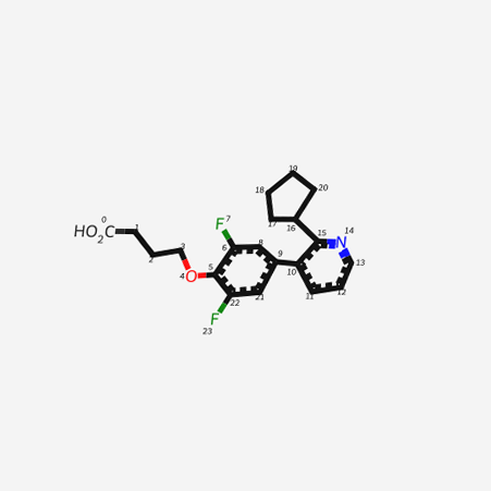 O=C(O)CCCOc1c(F)cc(-c2cccnc2C2CCCC2)cc1F